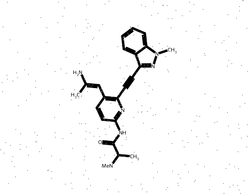 CNC(C)C(=O)Nc1ccc(/C=C(\C)N)c(C#Cc2nn(C)c3ccccc23)n1